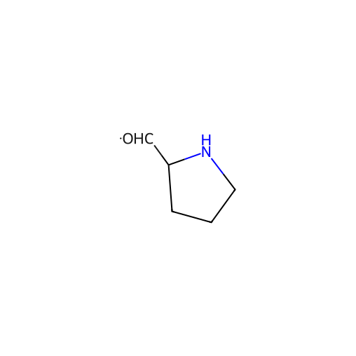 O=[C]C1CCCN1